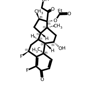 CCC(=O)O[C@@]1(C(=O)CO)[C@H](C)C[C@H]2[C@@H]3C[C@H](F)C4=C(F)C(=O)C=C[C@]4(C)[C@H]3[C@@H](O)C[C@@]21C